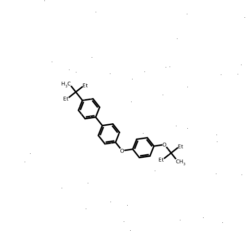 CCC(C)(CC)Oc1ccc(Oc2ccc(-c3ccc(C(C)(CC)CC)cc3)cc2)cc1